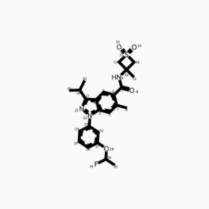 Cc1cc2c(cc1C(=O)NC1(C)CS(=O)(=O)C1)c(C(C)C)nn2-c1cccc(OC(C)F)c1